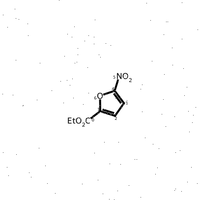 CCOC(=O)c1ccc([N+](=O)[O-])o1